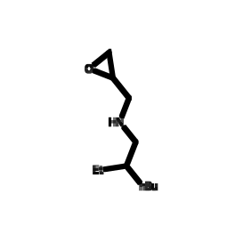 CCCCC(CC)CNCC1CO1